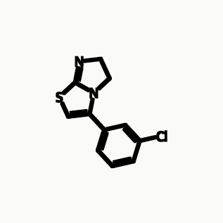 Clc1cccc(C2=CSC3=NCCN23)c1